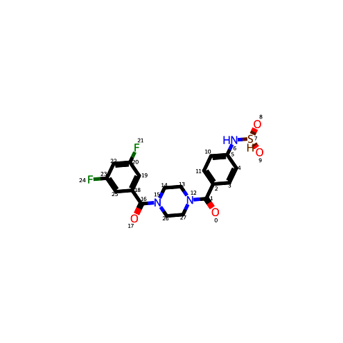 O=C(c1ccc(N[SH](=O)=O)cc1)N1CCN(C(=O)c2cc(F)cc(F)c2)CC1